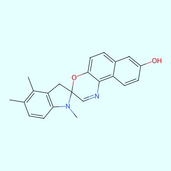 Cc1ccc2c(c1C)CC1(C=Nc3c(ccc4cc(O)ccc34)O1)N2C